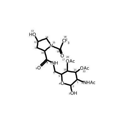 CC(=O)NC1C(O)OC(CNC(=O)C2CC(O)CN2C(=O)C(F)(F)F)C(OC(C)=O)C1OC(C)=O